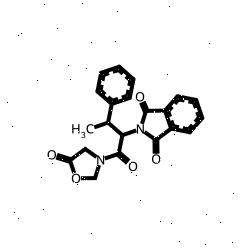 CC(c1ccccc1)C(C(=O)N1COC(=O)C1)N1C(=O)c2ccccc2C1=O